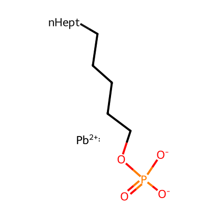 CCCCCCCCCCCCOP(=O)([O-])[O-].[Pb+2]